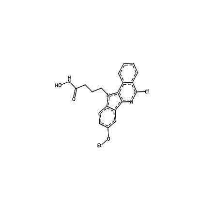 CCOc1ccc2c(c1)c1nc(Cl)c3ccccc3c1n2CCCC(=O)NO